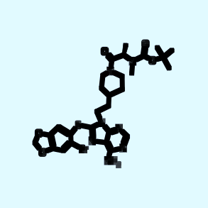 C[C@H](C(=O)N1CCC(CCn2c(Sc3cc4c(cc3Br)OCO4)nc3c(N)ncnc32)CC1)N(C)C(=O)OC(C)(C)C